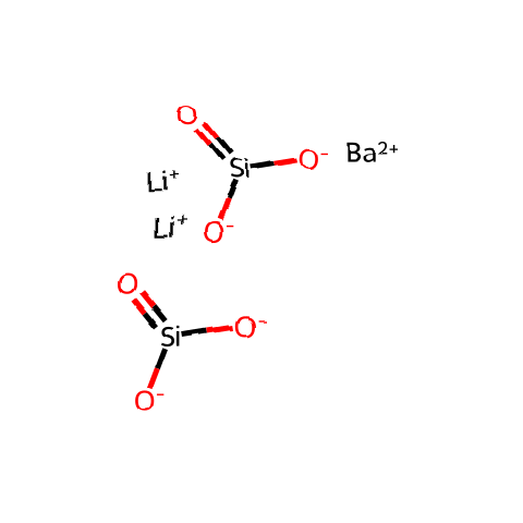 O=[Si]([O-])[O-].O=[Si]([O-])[O-].[Ba+2].[Li+].[Li+]